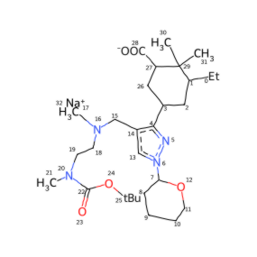 CCC1CC(c2nn(C3CCCCO3)cc2CN(C)CCN(C)C(=O)OC(C)(C)C)CC(C(=O)[O-])C1(C)C.[Na+]